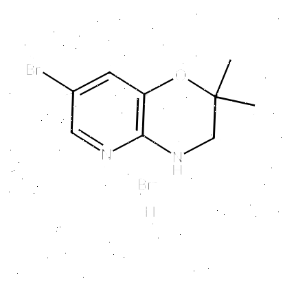 CC1(C)CNc2ncc(Br)cc2O1.[Br-].[H+]